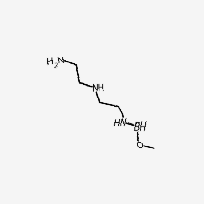 COBNCCNCCN